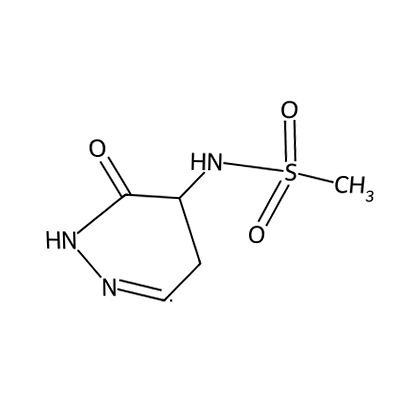 CS(=O)(=O)NC1C[C]=NNC1=O